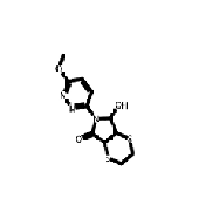 COc1ccc(N2C(=O)C3SCCSC3C2O)nn1